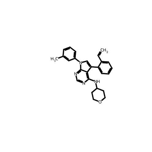 C=Cc1ccccc1-c1cn(-c2cccc(C)c2)c2ncnc(NC3CCOCC3)c12